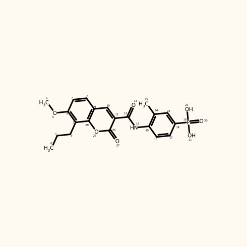 CCCc1c(OC)ccc2cc(C(=O)Nc3ccc(P(=O)(O)O)cc3C)c(=O)oc12